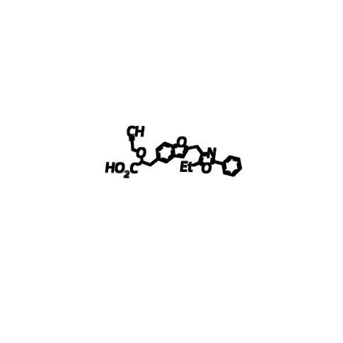 C#CCOC(Cc1ccc2oc(Cc3nc(-c4ccccc4)oc3CC)cc2c1)C(=O)O